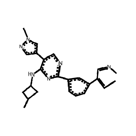 C/C=C(\C=N/C)c1cccc(-c2ncc(-c3cnn(C)c3)c(NC3CC(C)C3)n2)c1